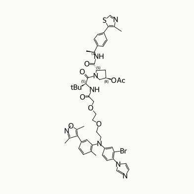 CC(=O)O[C@@H]1C[C@@H](C(=O)N[C@@H](C)c2ccc(-c3scnc3C)cc2)N(C(=O)[C@@H](NC(=O)COCCOCCN(c2ccc(-n3ccnc3)c(Br)c2)c2cc(-c3c(C)noc3C)ccc2C)C(C)(C)C)C1